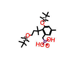 Cc1cc(CP(=O)(O)O)c(C(C)(C)CCO[Si](C)(C)C(C)(C)C)c(O[Si](C)(C)C(C)(C)C)c1